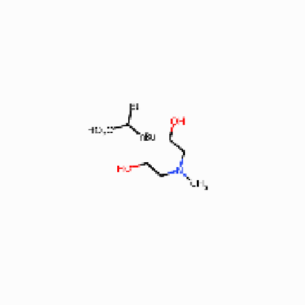 CCCCC(CC)C(=O)O.CN(CCO)CCO